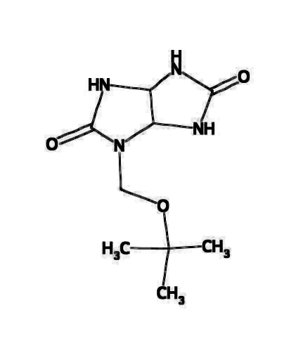 CC(C)(C)OCN1C(=O)NC2NC(=O)NC21